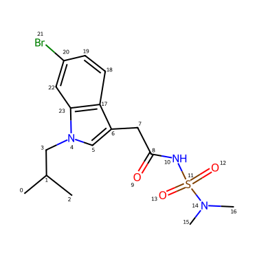 CC(C)Cn1cc(CC(=O)NS(=O)(=O)N(C)C)c2ccc(Br)cc21